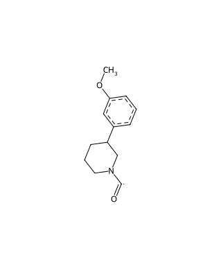 COc1cccc(C2CCCN([C]=O)C2)c1